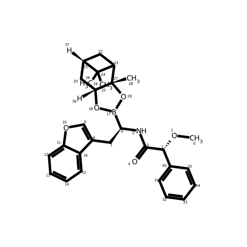 CO[C@@H](C(=O)N[C@@H](Cc1coc2ccccc12)B1O[C@@H]2C[C@@H]3CC(C3(C)C)[C@]2(C)O1)c1ccccc1